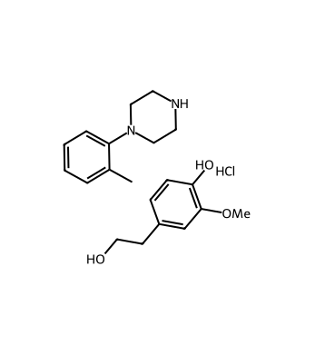 COc1cc(CCO)ccc1O.Cc1ccccc1N1CCNCC1.Cl